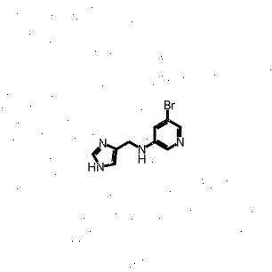 Brc1cncc(NCc2c[nH]cn2)c1